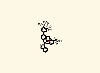 CCOP(=O)(O)c1cc(-c2ccc(CC(Cc3ccc(C(F)(F)P(=O)(O)O)cc3)(c3ccccc3)n3nnc4ccccc43)cc2)ccc1OC